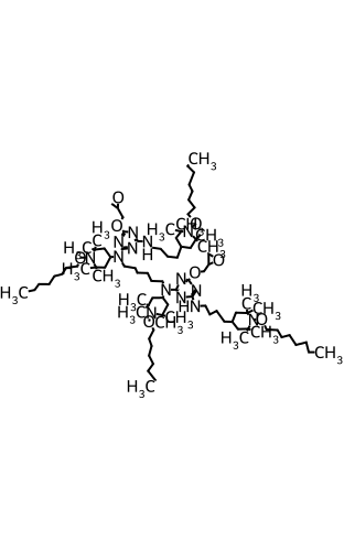 CCCCCCCCON1C(C)(C)CC(CCCCNc2nc(OCC3CO3)nc(N(CCCCCCN(c3nc(NCCCCC4CC(C)(C)N(OCCCCCCCC)C(C)(C)C4)nc(OCC4CO4)n3)C3CC(C)(C)N(OCCCCCCCC)C(C)(C)C3)C3CC(C)(C)N(OCCCCCCCC)C(C)(C)C3)n2)CC1(C)C